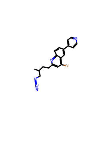 CC(CCc1cc(Br)c2cc(-c3ccncc3)ccc2n1)CN=[N+]=[N-]